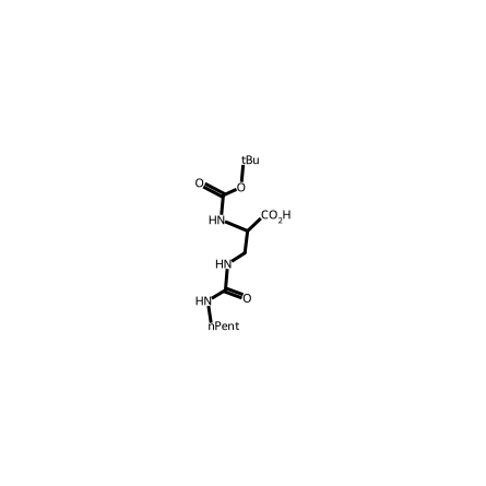 CCCCCNC(=O)NCC(NC(=O)OC(C)(C)C)C(=O)O